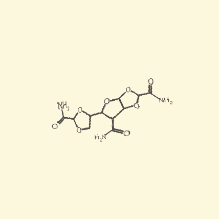 NC(=O)C1OCC(C2OC3OC(C(N)=O)OC3C2C(N)=O)O1